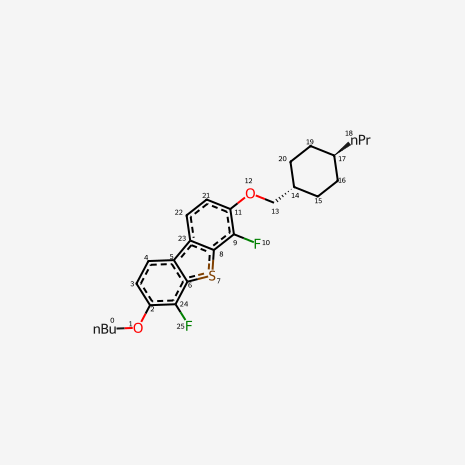 CCCCOc1ccc2c(sc3c(F)c(OC[C@H]4CC[C@H](CCC)CC4)ccc32)c1F